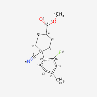 COC(=O)C1CCC(C#N)(c2ccc(C)cc2F)CC1